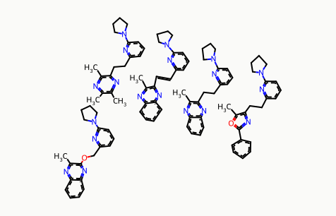 Cc1nc(C)c(CCc2cccc(N3CCCC3)n2)nc1C.Cc1nc2ccccc2nc1C=Cc1cccc(N2CCCC2)n1.Cc1nc2ccccc2nc1CCc1cccc(N2CCCC2)n1.Cc1nc2ccccc2nc1OCc1cccc(N2CCCC2)n1.Cc1oc(-c2ccccc2)nc1CCc1cccc(N2CCCC2)n1